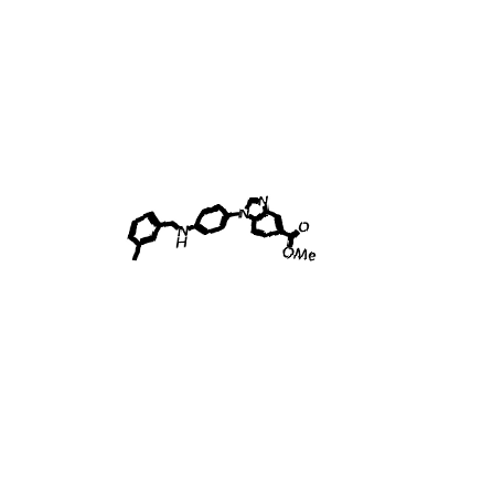 COC(=O)c1ccc2c(c1)ncn2-c1ccc(NCc2cccc(C)c2)cc1